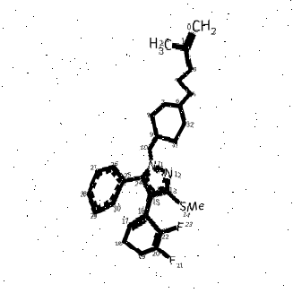 C=C(C)CCCC1CCC(Cn2nc(SC)c(C3=CCCC(F)=C3F)c2-c2ccccc2)CC1